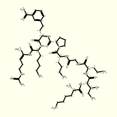 N=C(N)NCC/C=C(\NC(=O)[C@H](CCCCN)NC(=O)[C@H](CCc1cccc(C(N)=O)c1)NC(=O)[C@@H]1CCCN1C(=O)[C@@H](CCCN)NC(=O)CNC(=O)[C@H](CCN)NC(=O)[C@@H](NC(=O)[C@@H](N)CCCCN)[C@@H](O)CN)C(=O)O